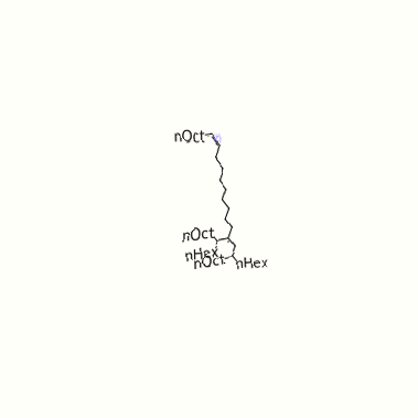 CCCCCCCC/C=C\CCCCCCCC[C](CC(CCCCCC)CCCCCCCC)C(CCCCCC)CCCCCCCC